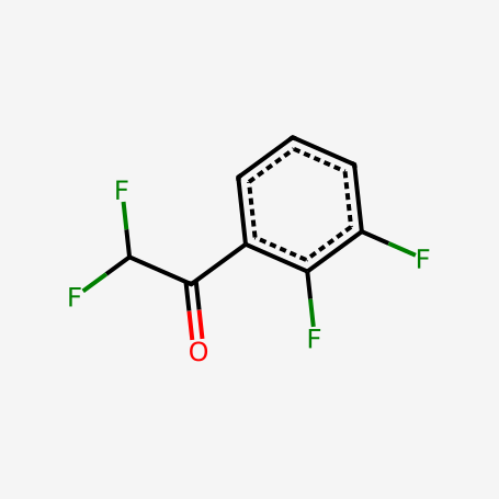 O=C(c1cccc(F)c1F)C(F)F